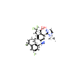 Cn1ccnc1-c1ccc([C@H]2CC[C@H](F)c3cc(F)cc(C#N)c32)c2c1[C@H](O)C(F)(F)C2